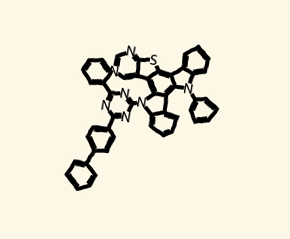 c1ccc(-c2ccc(-c3nc(-c4ccccc4)nc(-n4c5ccccc5c5c6c(c7ccccc7n6-c6ccccc6)c6sc7ncncc7c6c54)n3)cc2)cc1